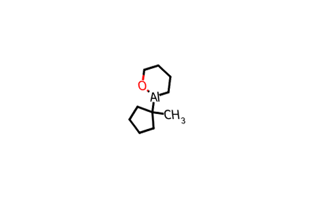 C[C]1([Al]2[CH2]CCC[O]2)CCCC1